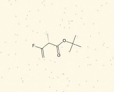 C=C(F)[C@H](C)C(=O)OC(C)(C)C